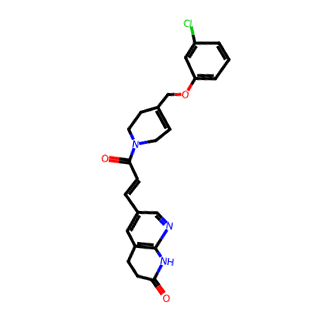 O=C1CCc2cc(C=CC(=O)N3CC=C(COc4cccc(Cl)c4)CC3)cnc2N1